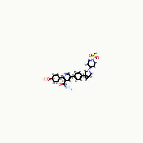 CS(=O)(=O)N1CCC(N2CC3CC3(c3ccc(-c4cnc(C5CCC(O)CC5)c(C(N)=O)c4)cc3)C2)CC1